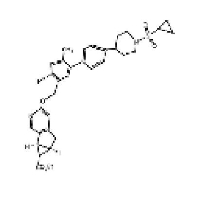 CCOC(=O)[C@H]1[C@@H]2Cc3cc(OCc4cc(-c5ccc(C6CCN(S(=O)(=O)C7CC7)CC6)cc5)c(C)cc4F)ncc3[C@@H]21